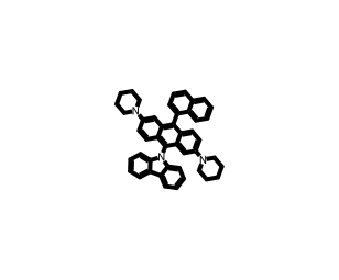 c1ccc2c(-c3c4cc(N5CCCCC5)ccc4c(-n4c5ccccc5c5ccccc54)c4cc(N5CCCCC5)ccc34)cccc2c1